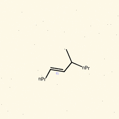 [CH2]C(/C=C/CCC)CCC